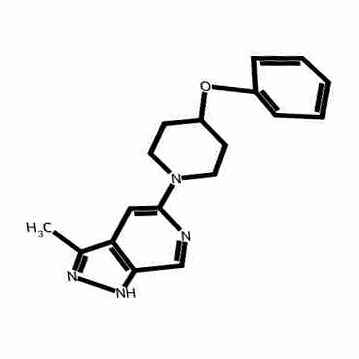 Cc1n[nH]c2cnc(N3CCC(Oc4ccccc4)CC3)cc12